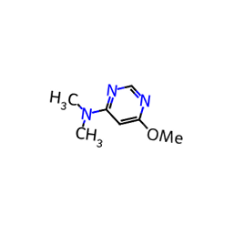 COc1cc(N(C)C)ncn1